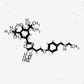 CCNCc1ccc(OCCc2coc(-c3cc(C(C)(C)C)c(O)c(C(C)(C)C)c3)n2)cc1.Cl.O.O